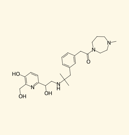 CN1CCCN(C(=O)Cc2cccc(CC(C)(C)NCC(O)c3ccc(O)c(CO)n3)c2)CC1